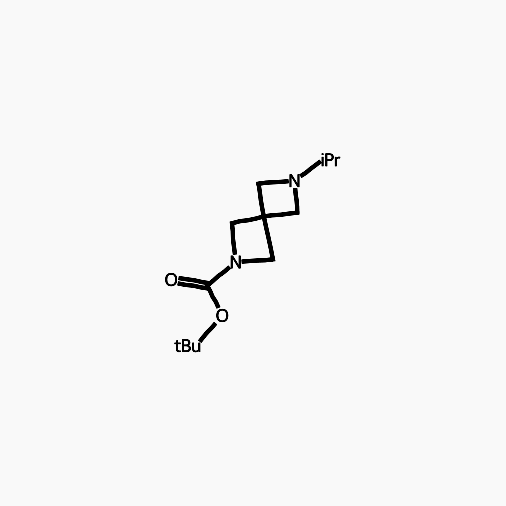 CC(C)N1CC2(CN(C(=O)OC(C)(C)C)C2)C1